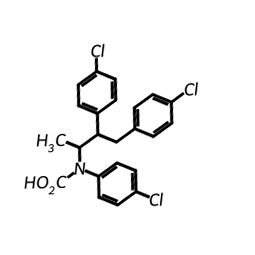 CC(C(Cc1ccc(Cl)cc1)c1ccc(Cl)cc1)N(C(=O)O)c1ccc(Cl)cc1